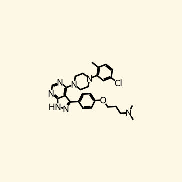 Cc1ccc(Cl)cc1N1CCN(c2ncnc3[nH]nc(-c4ccc(OCCCN(C)C)cc4)c23)CC1